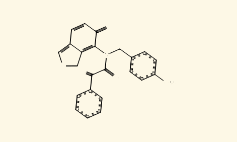 COc1ccc(CN(C(=O)C(=O)c2ccccc2)C2=C3COC=C3C=CC2=O)cc1